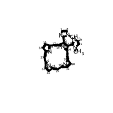 Cn1ccnc1C1=C(c2nccn2C)C2=NC1=CC1=NC(=CC3=NC(=CC4=NC(=C2)C=C4)C=C3)C=C1